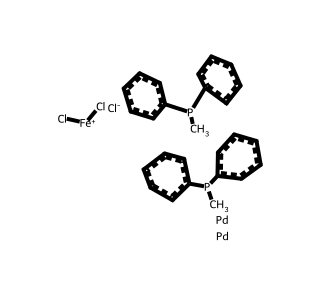 CP(c1ccccc1)c1ccccc1.CP(c1ccccc1)c1ccccc1.[Cl-].[Cl][Fe+][Cl].[Pd].[Pd]